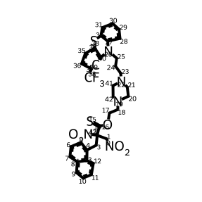 O=[N+]([O-])CC(Cc1cccc2ccccc12)(C(=S)OCCN1CCN(CCCN2c3ccccc3Sc3ccc(C(F)(F)F)cc32)CC1)[N+](=O)[O-]